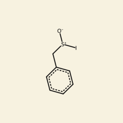 [O-][S+](I)Cc1ccccc1